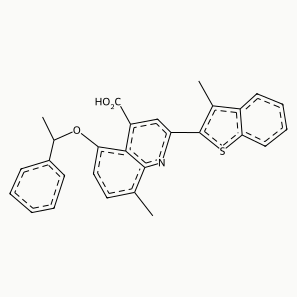 Cc1c(-c2cc(C(=O)O)c3c(OC(C)c4ccccc4)ccc(C)c3n2)sc2ccccc12